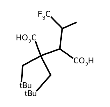 CC(C(C(=O)O)C(CC(C)(C)C)(CC(C)(C)C)C(=O)O)C(F)(F)F